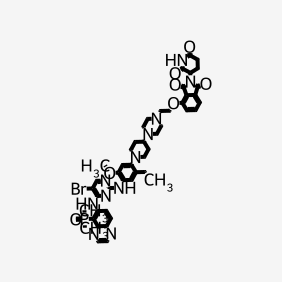 CCc1cc(Nc2ncc(Br)c(Nc3ccc4nccnc4c3P(C)(C)=O)n2)c(OC)cc1N1CCC(N2CCN(CCOc3cccc4c3C(=O)N(C3CCC(=O)NC3=O)C4=O)CC2)CC1